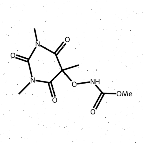 COC(=O)NOC1(C)C(=O)N(C)C(=O)N(C)C1=O